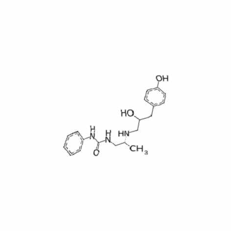 CC(CNC(=O)Nc1ccccc1)NCC(O)Cc1ccc(O)cc1